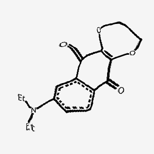 CCN(CC)c1ccc2c(c1)C(=O)C1=C(OCCO1)C2=O